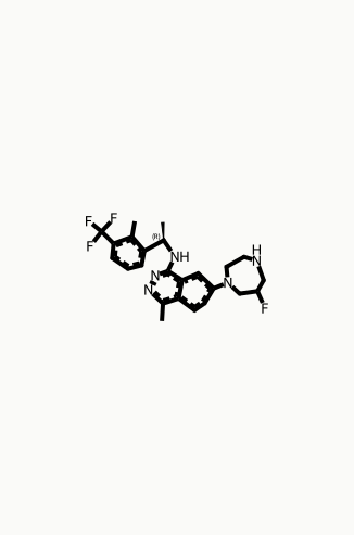 Cc1c([C@@H](C)Nc2nnc(C)c3ccc(N4CCNCC(F)C4)cc23)cccc1C(F)(F)F